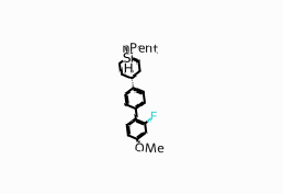 CCCCC[Si@H]1CC[C@H](c2ccc(-c3ccc(OC)cc3F)cc2)CC1